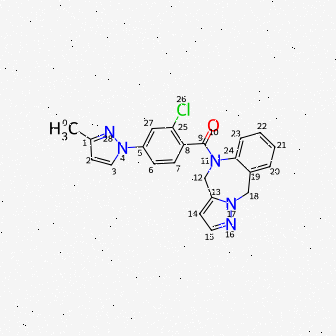 Cc1ccn(-c2ccc(C(=O)N3Cc4ccnn4Cc4ccccc43)c(Cl)c2)n1